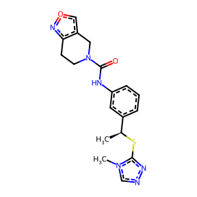 C[C@H](Sc1nncn1C)c1cccc(NC(=O)N2CCc3nocc3C2)c1